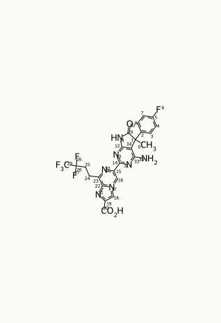 CC1(c2ccc(F)cc2)C(=O)Nc2nc(-c3cn4cc(C(=O)O)nc4c(CCC(F)(F)C(F)(F)F)n3)nc(N)c21